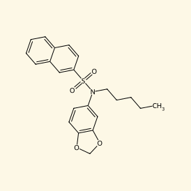 CCCCCN(c1ccc2c(c1)OCO2)S(=O)(=O)c1ccc2ccccc2c1